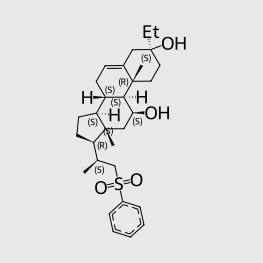 CC[C@]1(O)CC[C@@]2(C)C(=CC[C@@H]3[C@@H]2[C@@H](O)C[C@]2(C)[C@@H]([C@H](C)CS(=O)(=O)c4ccccc4)CC[C@@H]32)C1